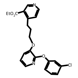 CCOC(=O)c1cnccc1CCCOc1cccnc1Oc1cccc(Cl)c1